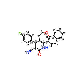 N#CC1C(=O)NC2=C(CCOc3c2ccc2ccccc32)C1c1ccc(F)cc1